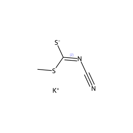 CS/C([S-])=N\C#N.[K+]